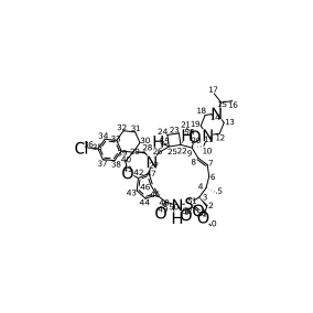 COC[C@@H]1[C@@H](C)C/C=C/[C@](CN2CCN(C(C)C)CC2)(OC)[C@@H]2CC[C@H]2CN2C[C@@]3(CCCc4cc(Cl)ccc43)COc3ccc(cc32)C(=O)NS1(=O)=O